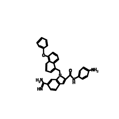 N=C(N)c1ccc2cc(C(=O)Nc3ccc(N)cc3)n(Cc3cccc4c(Oc5ccccc5)cccc34)c2c1